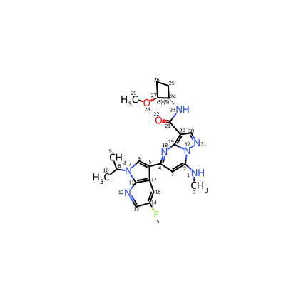 CNc1cc(-c2cn(C(C)C)c3ncc(F)cc23)nc2c(C(=O)N[C@H]3CC[C@@H]3OC)cnn12